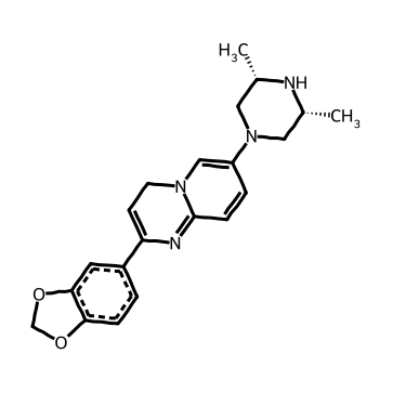 C[C@@H]1CN(C2=CN3CC=C(c4ccc5c(c4)OCO5)N=C3C=C2)C[C@H](C)N1